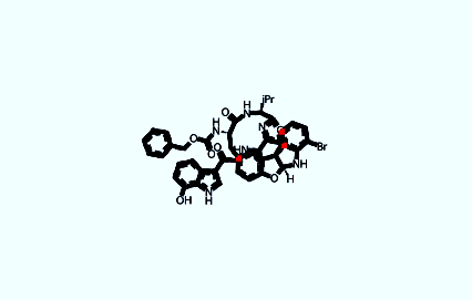 CC(C)[C@@H]1NC(=O)[C@@H](NC(=O)OCc2ccccc2)Cc2ccc3c(c2)C2(c4cccc(Br)c4N[C@H]2O3)c2oc1nc2C(=O)NCC(=O)c1c[nH]c2c(O)cccc12